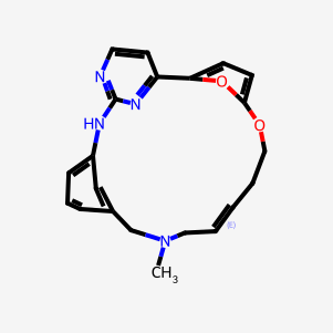 CN1C/C=C/CCOc2ccc(o2)-c2ccnc(n2)Nc2cccc(c2)C1